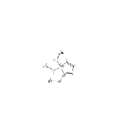 CCCO[C]1=CC=[CH][Ge]1([O]CCC)[O]CCC